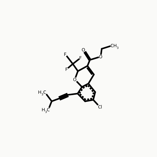 CCOC(=O)C1=Cc2cc(Cl)cc(C#CC(C)C)c2OC1C(F)(F)F